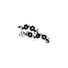 C[N+](C)(C)Cc1ccccc1.O=C(O)c1ccc(Sc2ccc(C(=O)O)cc2)cc1.O=C([O-])c1ccc(Sc2ccc(C(=O)O)cc2)cc1